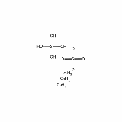 O=S(=O)(O)O.O[Si](O)(O)O.[AlH3].[CaH2].[CaH2]